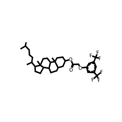 CC(C)CCCC(C)C1CCC2C3CCC4CC(OC(=O)COc5cc(C(F)(F)F)cc(C(F)(F)F)c5)CCC4(C)C3CCC12C